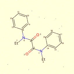 CCN(C(=O)C(=O)N(CC)c1ccccc1)c1ccccc1